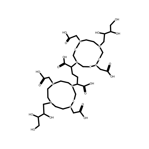 O=C(O)CN1CCN(CC(O)C(O)CO)CCN(CC(=O)O)CCN(C(CCC(C(=O)O)N2CCN(CC(=O)O)CCN(CC(O)C(O)CO)CCN(CC(=O)O)CC2)C(=O)O)CC1